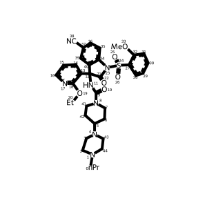 CCCN1CCN(C2CCN(C(=O)NC3(c4cccnc4OCC)C(=O)N(S(=O)(=O)c4ccccc4OC)c4ccc(C#N)cc43)CC2)CC1